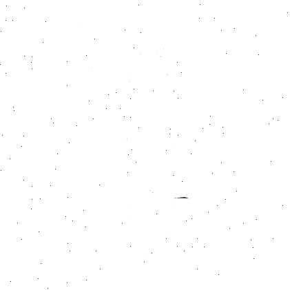 O=S(=O)(c1ccc(-c2c[nH]c3cc(F)ccc23)cc1)N1CC(F)C(O)C(O)[C@@H]1CO